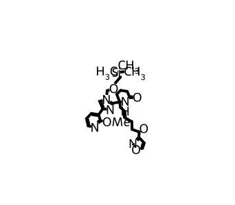 COc1ncccc1-c1cn(COCC[Si](C)(C)C)c(C2(CC=CCCC(=O)c3ccon3)CCCC(=O)N2)n1